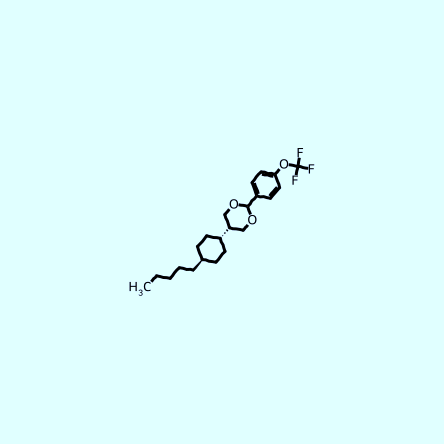 CCCCC[C@H]1CC[C@H](C2COC(c3ccc(OC(F)(F)F)cc3)OC2)CC1